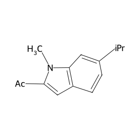 CC(=O)c1cc2ccc(C(C)C)cc2n1C